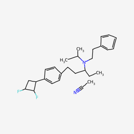 CC#N.CCC(CCc1ccc(C2CC(F)C2F)cc1)N(CCc1ccccc1)C(C)C